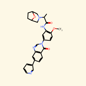 CC(C(=O)Nc1cc(-n2cnc3cc(-c4cccnc4)ccc3c2=O)ccc1OC(F)(F)F)N1CC2CCC(C1)O2